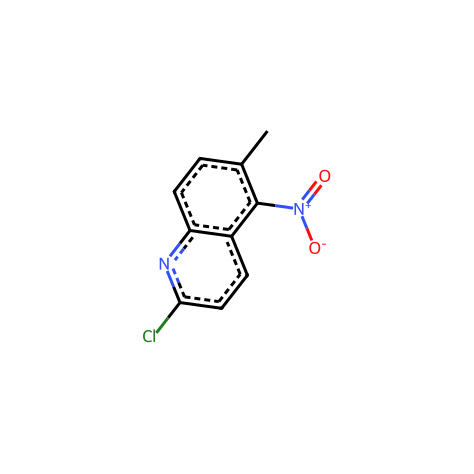 Cc1ccc2nc(Cl)ccc2c1[N+](=O)[O-]